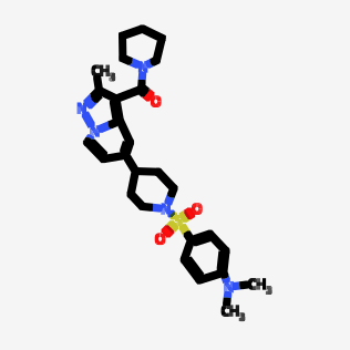 Cc1nn2ccc(C3CCN(S(=O)(=O)c4ccc(N(C)C)cc4)CC3)cc2c1C(=O)N1CCCCC1